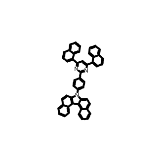 c1ccc2c(-c3cc(-c4cccc5ccccc45)nc(-c4ccc(-n5c6ccc7ccccc7c6c6c7ccccc7ccc65)cc4)n3)cccc2c1